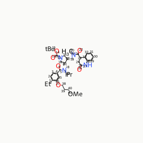 CCc1ccc(C(=O)N(C[C@@H]2CN(C(=O)OC(C)(C)C)C[C@@H]2CN(C)C(=O)C2CC(=O)Nc3ccccc32)C(C)C)cc1OCCCOC